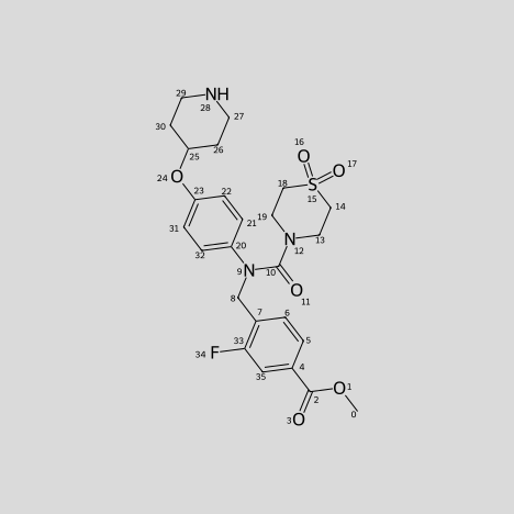 COC(=O)c1ccc(CN(C(=O)N2CCS(=O)(=O)CC2)c2ccc(OC3CCNCC3)cc2)c(F)c1